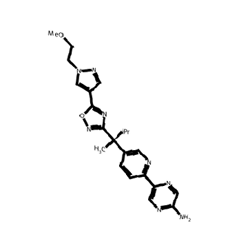 COCCn1cc(-c2nc([C@@](C)(c3ccc(-c4cnc(N)cn4)nc3)C(C)C)no2)cn1